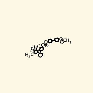 COc1ccc(C2(c3ccc(OC(=O)Oc4ccc(-c5ccc(OC(C)=O)cc5)cc4)c(C)c3)CCCCC2)cc1C